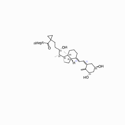 C=C1/C(=C\C=C2/CCC[C@]3(C)[C@@H]([C@H](C)[C@@H](O)CCC4(C(=O)CCCCCCC)CC4)CC[C@@H]23)C[C@@H](O)C[C@@H]1O